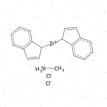 C1=C[CH]([Zr+2][CH]2C=Cc3ccccc32)c2ccccc21.C[SiH3].[Cl-].[Cl-]